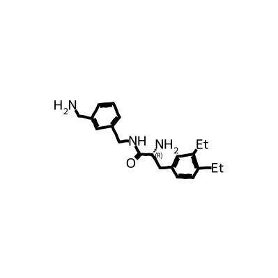 CCc1ccc(C[C@@H](N)C(=O)NCc2cccc(CN)c2)cc1CC